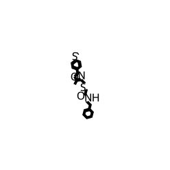 CSc1ccc(-c2nc(CSCC(=O)NCCC3=CCCCC3)c(C)o2)cc1